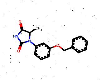 CC1C(=O)NC(=O)N1c1cccc(OCc2ccccc2)c1